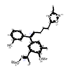 CO/N=C(\F)c1cc(/C(=C\CCCc2nc(C)no2)c2cccc(C#N)c2)cc(C)c1OC